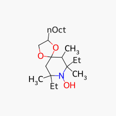 CCCCCCCCC1COC2(CC(C)(CC)N(O)C(C)(CC)C2C)O1